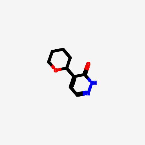 O=c1[nH]nccc1C1CCCCO1